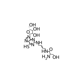 NC(CO)C(=O)NC/C=C/CNc1nc(S)c2ncn([C@@H]3O[C@H](CO)[C@H](O)C3O)c2n1